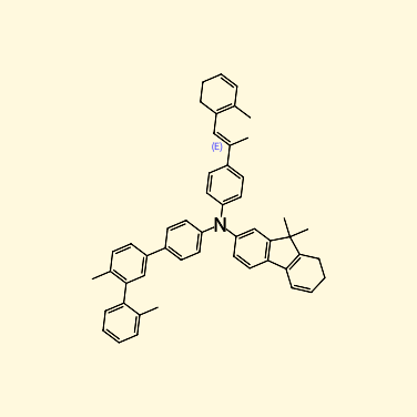 CC1=C(/C=C(\C)c2ccc(N(c3ccc(-c4ccc(C)c(-c5ccccc5C)c4)cc3)c3ccc4c(c3)C(C)(C)C3=C4C=CCC3)cc2)CCC=C1